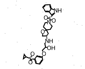 O=S(=O)(c1cccc(OCC(O)CN[C@H]2COC3(CCN(S(=O)(=O)c4c[nH]c5ccccc45)CC3)C2)c1)C1CC1